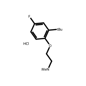 CNCCOc1ccc(F)cc1C(C)(C)C.Cl